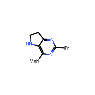 CNc1nc(C(C)C)nc2c1NCC2